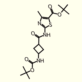 Cc1nc(NC(=O)C2CC(NC(=O)OC(C)(C)C)C2)sc1C(=O)OC(C)(C)C